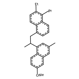 CCc1ccc2c(CC(C)c3cc(C)cc4cc(OC)ccc34)cccc2c1C(C)C